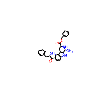 NC(Cc1ccccc1)C(=O)c1ccc2[nH]c3c(c2c1)CC(C(=O)OCc1ccccc1)NC3N